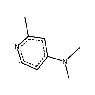 Cc1cc(N(C)C)c[c]n1